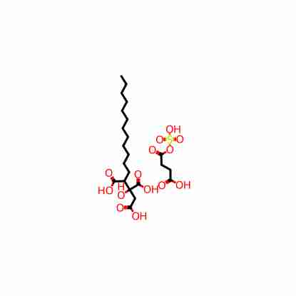 CCCCCCCCCCCCC(C(=O)O)C(O)(CC(=O)O)C(=O)O.O=C(O)CCC(=O)OS(=O)(=O)O